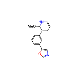 COC1NC=CC=C1c1cccc(-c2cnco2)c1